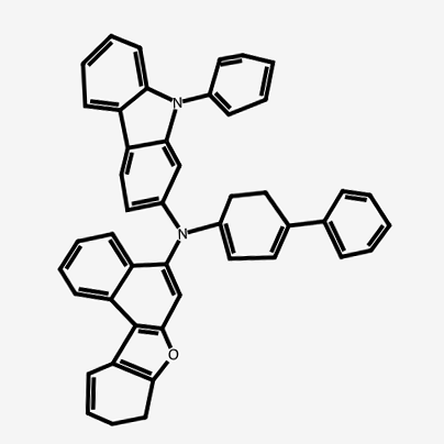 C1=Cc2c(oc3cc(N(C4=CC=C(c5ccccc5)CC4)c4ccc5c6ccccc6n(-c6ccccc6)c5c4)c4ccccc4c23)CC1